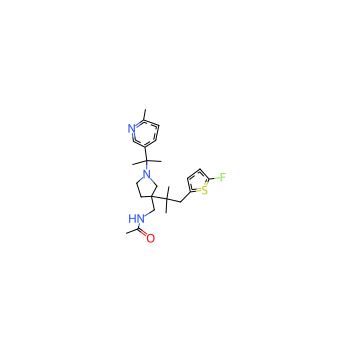 CC(=O)NCC1(C(C)(C)Cc2ccc(F)s2)CCN(C(C)(C)c2ccc(C)nc2)C1